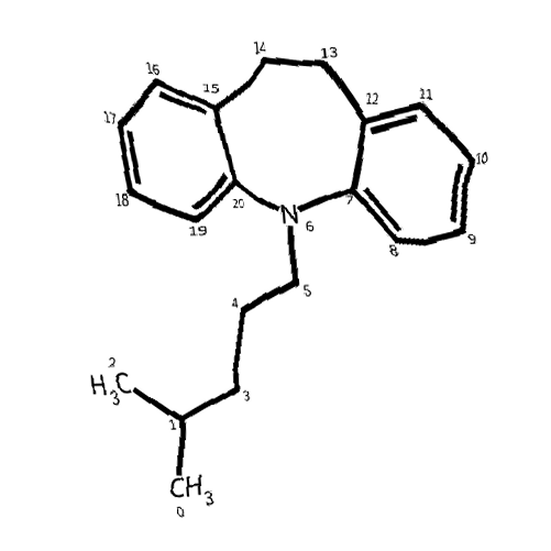 CC(C)CCCN1c2ccccc2CCc2ccccc21